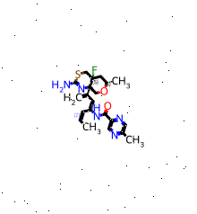 C=C(/C=C(\C=C/C)NC(=O)c1cnc(C)cn1)[C@]12CO[C@@H](C)C[C@@]1(F)CSC(N)=N2